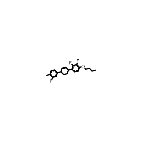 CCCCOc1ccc(C2C=CC(c3ccc(C)c(F)c3)CC2)c(F)c1F